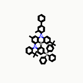 Cc1cc2c3c(c1)N(c1ccccc1C(C)(C)C)c1ccc([Si](c4ccccc4)(c4ccccc4)c4ccccc4)cc1B3c1cc(C(C)(C)C)ccc1N2c1ccc(-c2ccccc2)cc1C